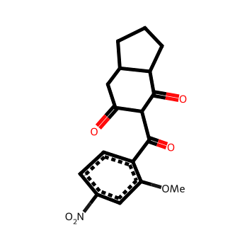 COc1cc([N+](=O)[O-])ccc1C(=O)C1C(=O)CC2CCCC2C1=O